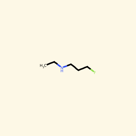 CCNCCCF